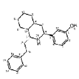 Oc1cccc([C@@H]2CC3CCCCC3[C@@H](CCc3ccccc3)N2)c1